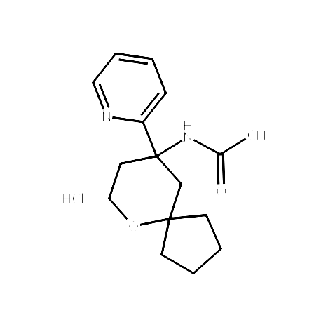 CC(=O)NC1(c2ccccn2)CCOC2(CCCC2)C1.Cl